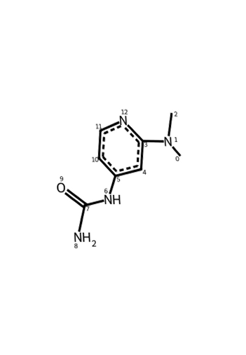 CN(C)c1cc(NC(N)=O)ccn1